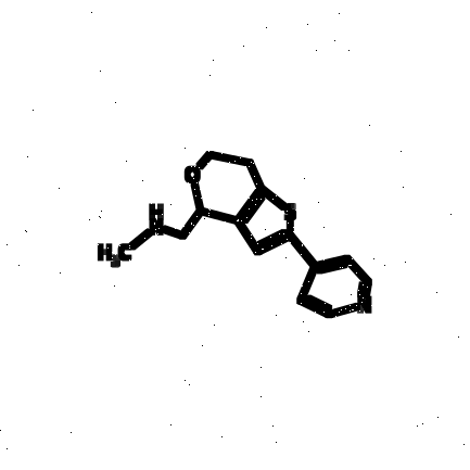 CNCC1OCCc2sc(-c3ccncc3)cc21